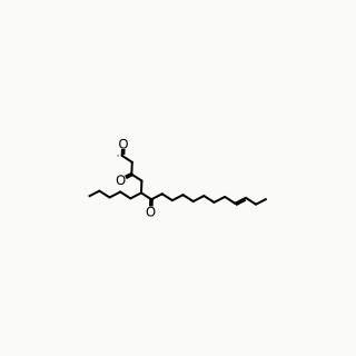 CCC=CCCCCCCCC(=O)C(CCCCC)CC(=O)C[C]=O